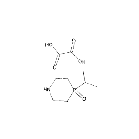 CC(C)P1(=O)CCNCC1.O=C(O)C(=O)O